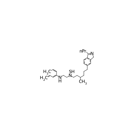 C=C/C=C(\C=C/C)NCCN(S)CCC(C)CCCc1ccc2c(c1)CN=C2CCC